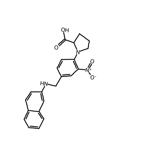 O=C(O)C1CCCN1c1ccc(CNc2ccc3ccccc3c2)cc1[N+](=O)[O-]